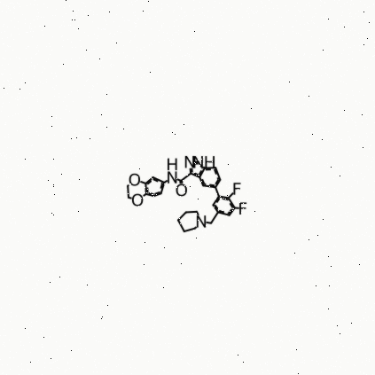 O=C(Nc1ccc2c(c1)OCCO2)c1n[nH]c2ccc(-c3cc(CN4CCCCC4)cc(F)c3F)cc12